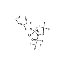 CC(C)(N1Oc2ccccc2O1)N(SC(F)(F)F)S(=O)(=O)C(F)(F)F